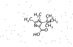 Cc1nc(C(=O)O)[c]([Sn]([CH3])([CH3])[CH3])n1C